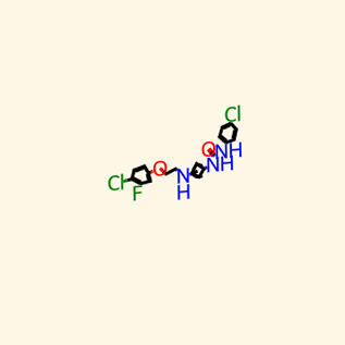 O=C(Nc1ccc(Cl)cc1)NC12CC(NCCOc3ccc(Cl)c(F)c3)(C1)C2